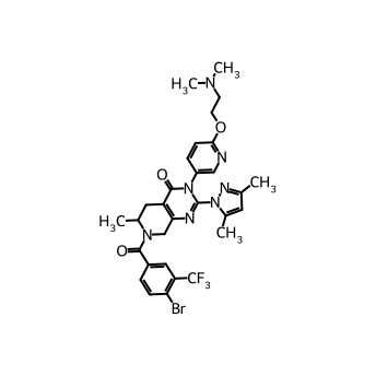 Cc1cc(C)n(-c2nc3c(c(=O)n2-c2ccc(OCCN(C)C)nc2)CC(C)N(C(=O)c2ccc(Br)c(C(F)(F)F)c2)C3)n1